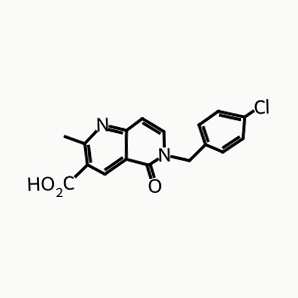 Cc1nc2ccn(Cc3ccc(Cl)cc3)c(=O)c2cc1C(=O)O